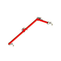 CCCCCCCCCCCCCCCCCCCCCCCCCCCCCCOC(CCCCCCCCCCCCCCCCCCCCCCCCCCC(C)OC(=O)CCCCCCCCCCCCCCC)C(=O)O